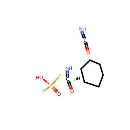 C1CCCCC1.N=C=O.N=C=O.O=P(O)(F)F.[LiH]